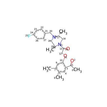 CC(=O)c1cc(C)c(C)cc1OCC(=O)N1C[C@@H](C)N(Cc2ccc(F)cc2)C[C@@H]1C